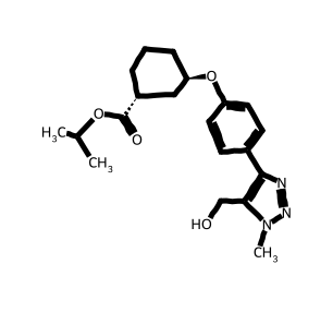 CC(C)OC(=O)[C@@H]1CCC[C@@H](Oc2ccc(-c3nnn(C)c3CO)cc2)C1